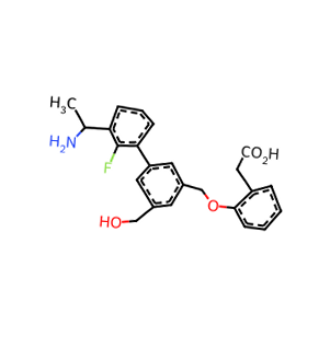 CC(N)c1cccc(-c2cc(CO)cc(COc3ccccc3CC(=O)O)c2)c1F